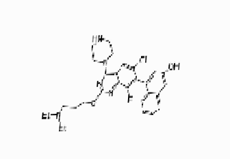 CCN(CC)CCCOc1nc(N2CCNCC2)c2cc(Cl)c(-c3cc(O)cc4ccccc34)c(F)c2n1